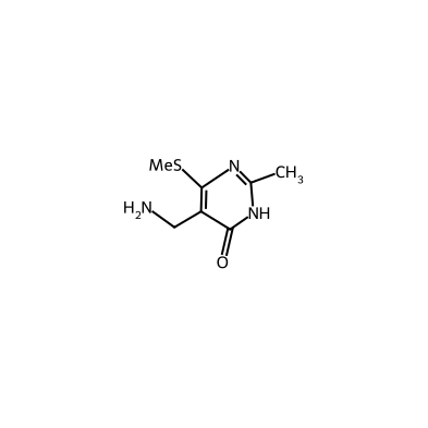 CSc1nc(C)[nH]c(=O)c1CN